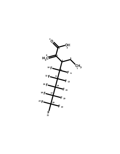 C=C(C(=O)O)C(CC)C(F)(F)C(F)(F)C(F)(F)C(F)(F)C(F)(F)F